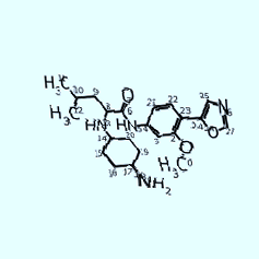 COc1cc(NC(=O)C(CC(C)C)NC2CCC(N)CC2)ccc1-c1cnco1